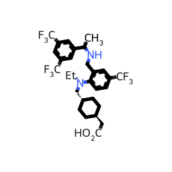 CCN(C[C@H]1CC[C@H](CC(=O)O)CC1)c1ccc(C(F)(F)F)cc1CNC(C)c1cc(C(F)(F)F)cc(C(F)(F)F)c1